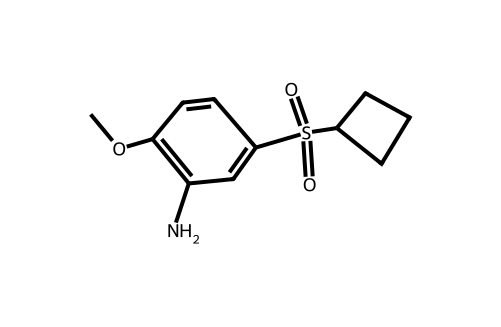 COc1ccc(S(=O)(=O)C2CCC2)cc1N